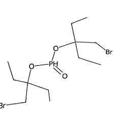 CCC(CC)(CBr)O[PH](=O)OC(CC)(CC)CBr